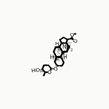 COC(=O)C1CC[C@]2(N)[C@@H]3CC[C@@H]4C[C@@H](O[C@@H]5CC[C@@H](O)C(C)O5)CC[C@]4(C)[C@H]3CC[C@]12C